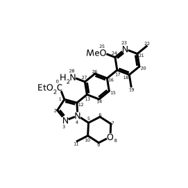 CCOC(=O)c1cnn(C2CCOCC2C)c1-c1ccc(-c2c(C)cc(C)nc2OC)cc1N